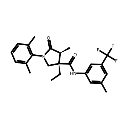 CC[C@@]1(C(=O)Nc2cc(C)cc(C(F)(F)F)c2)CN(c2c(C)cccc2C)C(=O)[C@H]1C